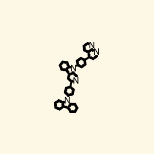 c1cnc2nccc(-c3ccc(-n4c5ccccc5c5cc(-c6ccc(-n7c8ccccc8c8ccccc87)cc6)ncc54)cc3)c2c1